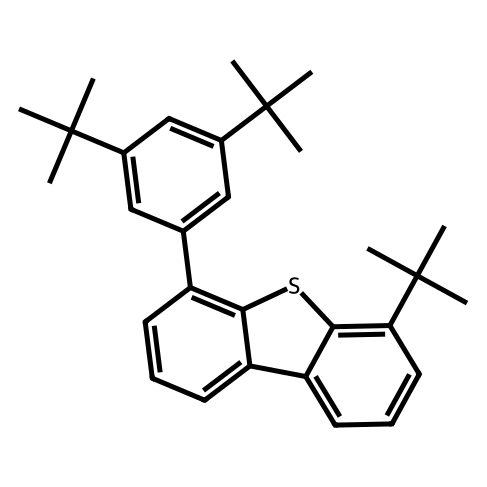 CC(C)(C)c1cc(-c2cccc3c2sc2c(C(C)(C)C)cccc23)cc(C(C)(C)C)c1